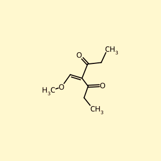 CCC(=O)C(=COC)C(=O)CC